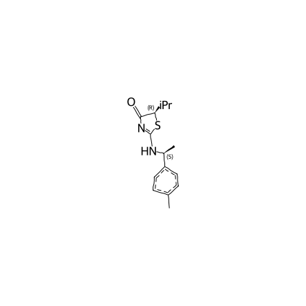 Cc1ccc([C@H](C)NC2=NC(=O)[C@@H](C(C)C)S2)cc1